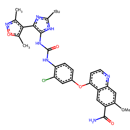 COc1cc2nccc(Oc3ccc(NC(=O)Nc4[nH]c(C(C)(C)C)nc4-c4c(C)noc4C)c(Cl)c3)c2cc1C(N)=O